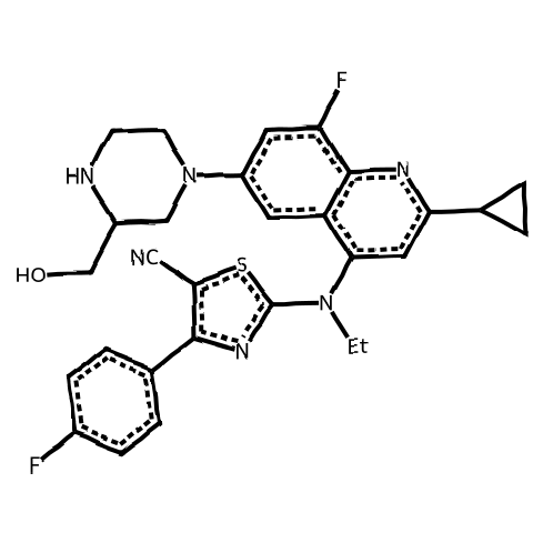 CCN(c1nc(-c2ccc(F)cc2)c(C#N)s1)c1cc(C2CC2)nc2c(F)cc(N3CCNC(CO)C3)cc12